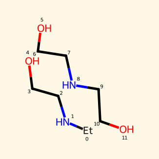 CCNCCO.OCCNCCO